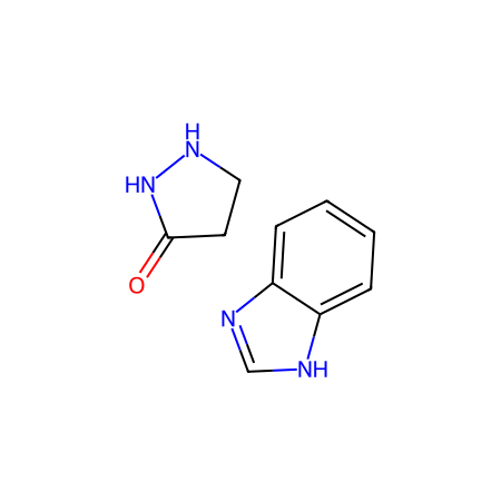 O=C1CCNN1.c1ccc2[nH]cnc2c1